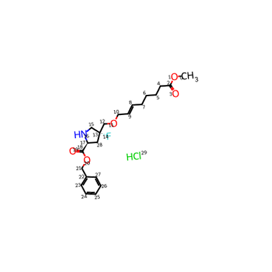 COC(=O)CCCC/C=C/COC[C@]1(F)CN[C@H](C(=O)OCc2ccccc2)C1.Cl